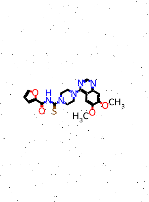 COc1cc2ncnc(N3CCN(C(=S)NC(=O)c4ccco4)CC3)c2cc1OC